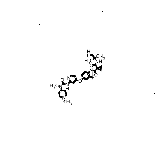 CCC(C)(C)NC(=O)C1(C(=O)Nc2ccc(Oc3ccnc(NC(=O)N(C)C4CCN(C)CC4)c3)cc2F)CC1